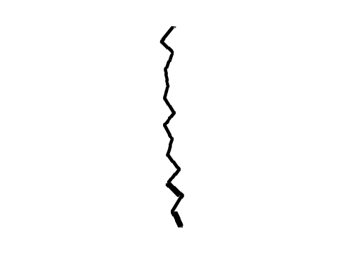 [CH]=CC=CCCCCCCCCCC[CH2]